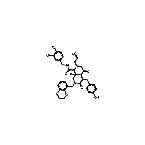 C=CCN1CC(=O)N2[C@@H](Cc3ccc(O)cc3)C(=O)N(Cc3cccc4c3OCCO4)C[C@@H]2N1C(=O)NCc1ccc(Cl)c(Cl)c1